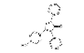 O=C1C(c2ccccc2)=CC(c2ccc(O)cc2)=C1c1ccccc1